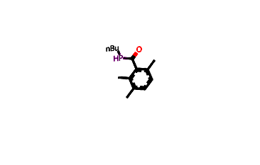 CCCCPC(=O)c1c(C)ccc(C)c1C